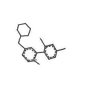 Cc1ccc(-c2cc(CC3CCCCC3)cc[n+]2C)c(C)c1